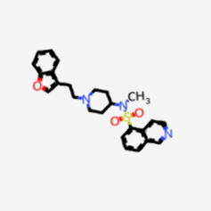 CN(C1CCN(CCc2coc3ccccc23)CC1)S(=O)(=O)c1cccc2cnccc12